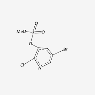 COS(=O)(=O)Oc1cc(Br)cnc1Cl